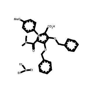 CCN(CC)CC.COc1ccc(-n2c(C(=O)O)c(OCc3ccccc3)c(OCc3ccccc3)c2C(=O)N(C)C)cc1